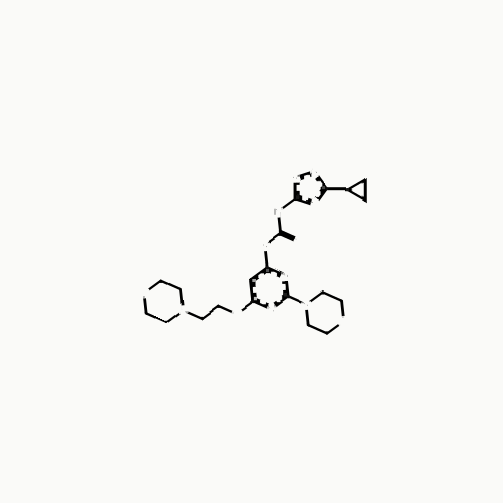 O=C(Nc1cc(OCCN2CCOCC2)nc(N2CCOCC2)n1)Nc1nnc(C2CC2)s1